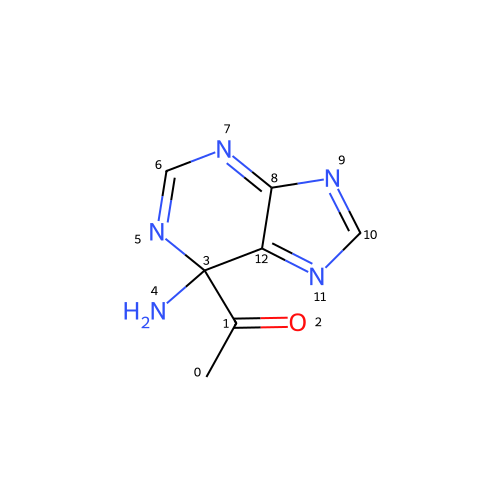 CC(=O)C1(N)N=CN=C2N=CN=C21